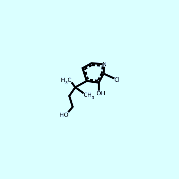 CC(C)(CCO)c1ccnc(Cl)c1O